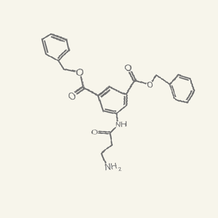 NCCC(=O)Nc1cc(C(=O)OCc2ccccc2)cc(C(=O)OCc2ccccc2)c1